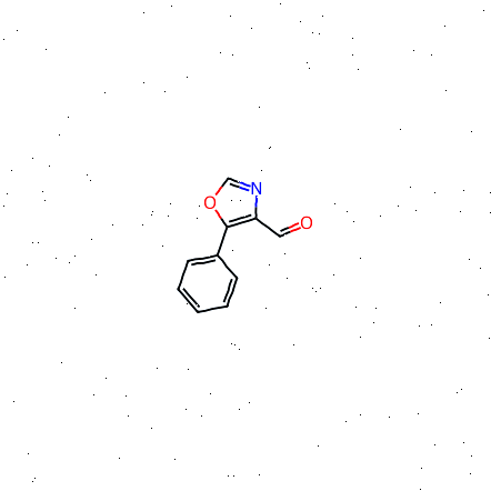 O=Cc1ncoc1-c1ccccc1